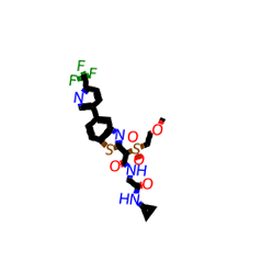 COCCS(=O)(=O)C(C(=O)NCC(=O)NC1CC1)c1nc2cc(-c3ccc(C(F)(F)F)nc3)ccc2s1